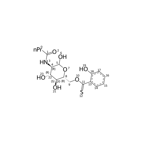 CCCC(=O)N[C@H]1C(O)O[C@H](COC(=S)c2ccccc2O)[C@@H](O)[C@@H]1O